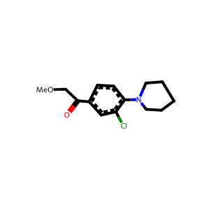 COCC(=O)c1ccc(N2CCCCC2)c(Cl)c1